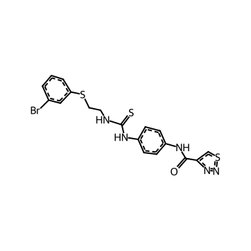 O=C(Nc1ccc(NC(=S)NCCSc2cccc(Br)c2)cc1)c1csnn1